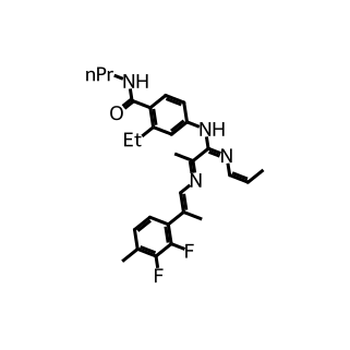 C\C=C/N=C(Nc1ccc(C(=O)NCCC)c(CC)c1)\C(C)=N\C=C(/C)c1ccc(C)c(F)c1F